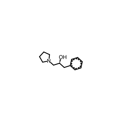 O[C@@H](Cc1ccccc1)CN1CCCC1